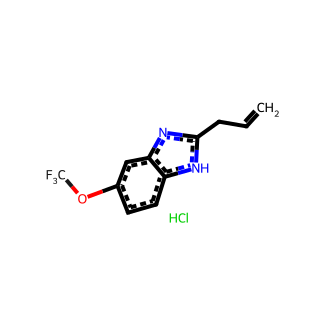 C=CCc1nc2cc(OC(F)(F)F)ccc2[nH]1.Cl